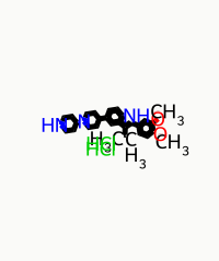 COc1ccc(-c2[nH]c3ccc(C4CCN(C5CCNCC5)CC4)cc3c2C(C)C)cc1OC.Cl.Cl